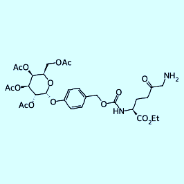 CCOC(=O)[C@H](CCC(=O)CN)NC(=O)OCc1ccc(O[C@H]2O[C@H](COC(C)=O)[C@H](OC(C)=O)[C@H](OC(C)=O)[C@H]2OC(C)=O)cc1